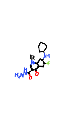 CCn1cc(C(=O)NN)c(=O)c2cc(F)c(NC3CCCCC3)cc21